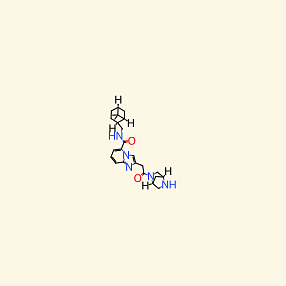 CC1(C)[C@@H]2CC[C@@H](CNC(=O)c3cccc4nc(CC(=O)N5C[C@H]6C[C@@H]5CN6)cn34)[C@H]1C2